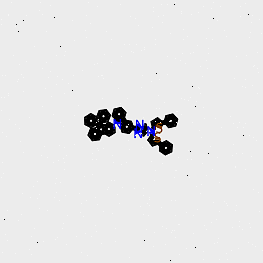 C1=C(c2ccccc2)SC(N(c2cnc(-c3ccc4c(c3)c3ccccc3n4-c3ccc4c(c3)C(c3ccccc3)(c3ccccc3)c3ccccc3-4)nc2)c2ccc(-c3ccccc3)s2)C1